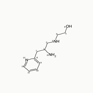 NC(CNCCO)Cc1ccccn1